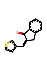 O=C1C(=Cc2ccsc2)Cc2ccccc21